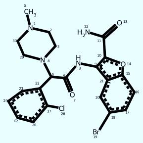 CN1CCN(C(C(=O)Nc2c(C(N)=O)oc3ccc(Br)cc23)c2ccccc2Cl)CC1